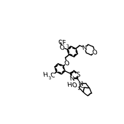 Cc1ccc(OCc2ccc(CN3CCOCC3)cc2OC(F)(F)F)c(-c2csc(N3CC4CCC(C3)C4C(=O)O)n2)c1